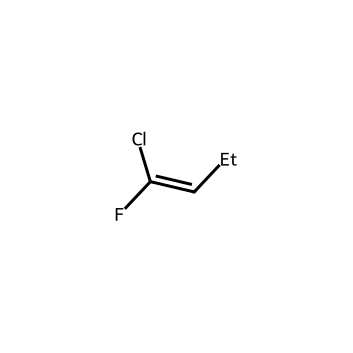 CCC=C(F)Cl